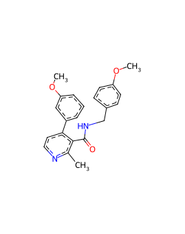 COc1ccc(CNC(=O)c2c(-c3cccc(OC)c3)ccnc2C)cc1